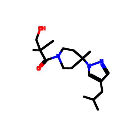 CC(C)Cc1cnn(C2(C)CCN(C(=O)C(C)(C)CO)CC2)c1